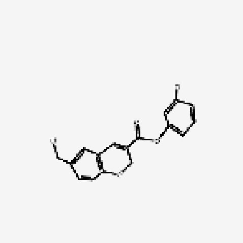 O=C(Oc1cccc(Cl)c1)C1=Cc2cc(CCl)ccc2OC1